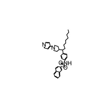 CCCCCCCCC(c1ccc(NS(=O)(=O)c2ccc3ccccc3c2)cc1)C1CCN(c2ccncc2)CC1